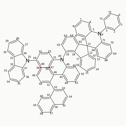 c1ccc(N2c3ccccc3C3(c4ccccc4-c4c(N(c5ccc(-n6c7ccccc7c7ccccc76)cc5)c5ccccc5-c5ccccc5-c5cccc6ccccc56)cccc43)c3ccccc32)cc1